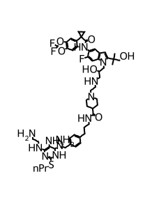 CCCSC1=NC(NCCN)=C(N)C(N(N)Cc2ccc(CCCNC(=O)C3CCN(CCNCC(O)Cn4c(C(C)(C)CO)cc5cc(NC(=O)C6(c7ccc8c(c7)OC(F)(F)O8)CC6)c(F)cc54)CC3)cc2)N1